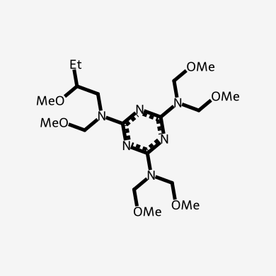 CCC(CN(COC)c1nc(N(COC)COC)nc(N(COC)COC)n1)OC